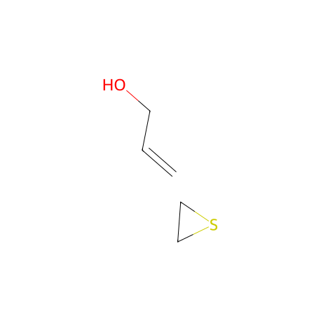 C1CS1.C=CCO